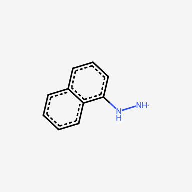 [NH]Nc1cccc2ccccc12